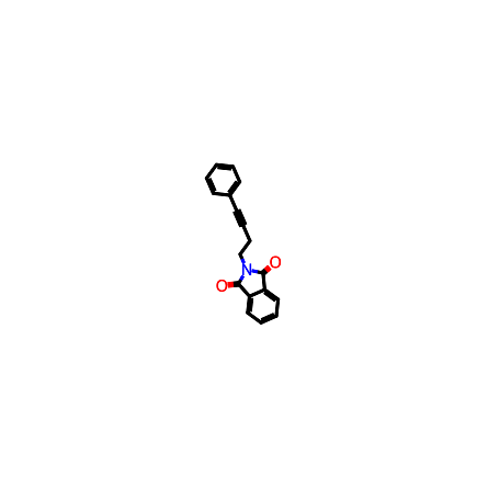 O=C1c2ccccc2C(=O)N1CCC#Cc1ccccc1